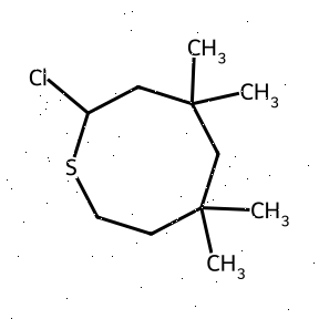 CC1(C)CCSC(Cl)CC(C)(C)C1